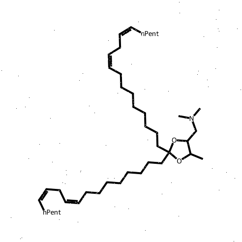 CCCCC/C=C\C/C=C\CCCCCCCCC1(CCCCCCCC/C=C\C/C=C\CCCCC)OC(C)C(CN(C)C)O1